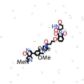 CNc1cc2c(=O)n(C)cc(-c3cc(OC)c(CN4CCN(C(=O)CCCOc5cccc6c5C(=O)N(C5CCC(=O)NC5=O)C6=O)CC4)c(OC)c3)c2cn1